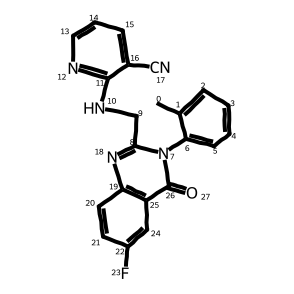 Cc1ccccc1-n1c(CNc2ncccc2C#N)nc2ccc(F)cc2c1=O